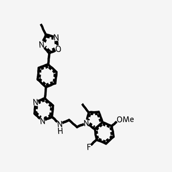 COc1ccc(F)c2c1cc(C)n2CCNc1cc(-c2ccc(-c3nc(C)no3)cc2)ncn1